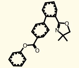 CC1(C)COC(c2ccccc2-c2ccc(C(=O)Oc3ccccc3)cc2)=N1